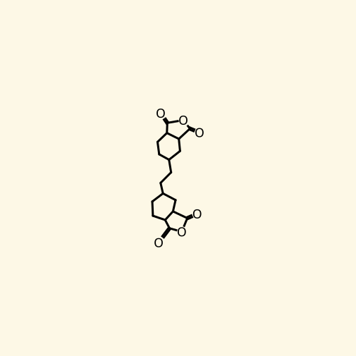 O=C1OC(=O)C2CC(CCC3CCC4C(=O)OC(=O)C4C3)CCC12